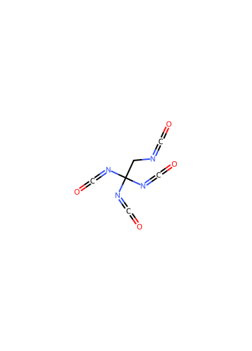 O=C=NCC(N=C=O)(N=C=O)N=C=O